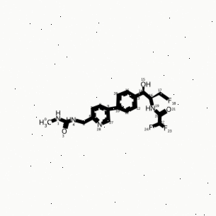 CNC(=O)NCc1ccc(-c2ccc([C@@H](O)[C@@H](CF)NC(=O)C(F)F)cc2)cn1